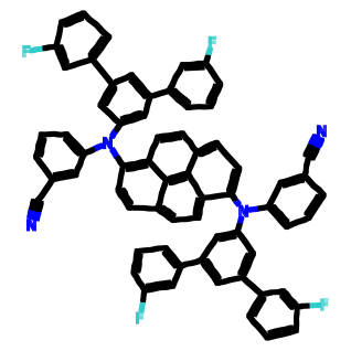 N#Cc1cccc(N(c2cc(-c3cccc(F)c3)cc(-c3cccc(F)c3)c2)c2ccc3ccc4c(N(c5cccc(C#N)c5)c5cc(-c6cccc(F)c6)cc(-c6cccc(F)c6)c5)ccc5ccc2c3c54)c1